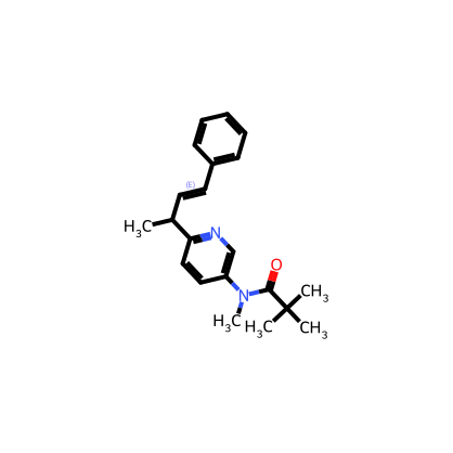 CC(/C=C/c1ccccc1)c1ccc(N(C)C(=O)C(C)(C)C)cn1